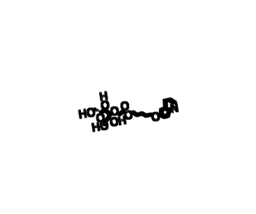 O=C(CO[C@H]1[C@H](O)[C@@H](CO)OC(O)[C@@H]1O)OCCCCCOc1ccc2ncccc2c1